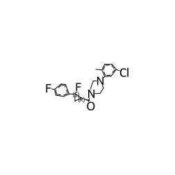 Cc1ccc(Cl)cc1N1CCN(C(=O)[C@H]2C[C@@]2(F)c2ccc(F)cc2)CC1